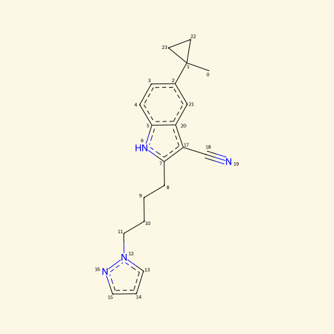 CC1(c2ccc3[nH]c(CCCCn4cccn4)c(C#N)c3c2)CC1